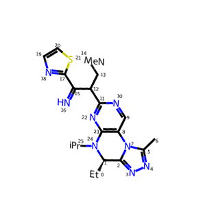 CC[C@@H]1c2nnc(C)n2-c2cnc(C(CNC)C(=N)c3nccs3)nc2N1C(C)C